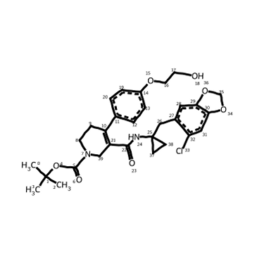 CC(C)(C)OC(=O)N1CCC(c2ccc(OCCO)cc2)=C(C(=O)NC2(Cc3cc4c(cc3Cl)OCO4)CC2)C1